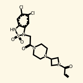 C=CC(=O)N1CC(N2CCN(C(=O)CN3c4cc(Cl)c(Cl)cc4NS3(=O)=O)CC2)C1